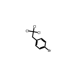 ClC(Cl)(Cl)Cc1ccc(Br)cc1